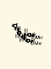 COC(=O)c1ccc(Nc2nc(Nc3ccc(C(=O)OC)cc3)nc(Nc3ccc(C(=O)OC4CC(C)CC(C)(C)C4)cc3)n2)cc1